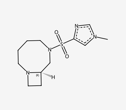 Cn1cnc(S(=O)(=O)N2CCCCN3CC[C@@H]3C2)c1